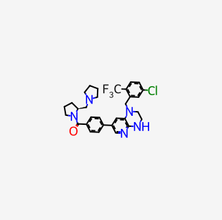 O=C(c1ccc(-c2cnc3c(c2)N(Cc2cc(Cl)ccc2C(F)(F)F)CCN3)cc1)N1CCC[C@H]1CN1CCCC1